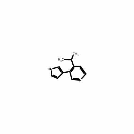 CC(C)c1ccncc1-c1cc[nH]c1